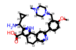 COc1ccc(-c2cc3c(cn2)CCc2c-3[nH]c(C(N)C3CC3)c2C(=O)O)cc1CN1CCN(C)CC1